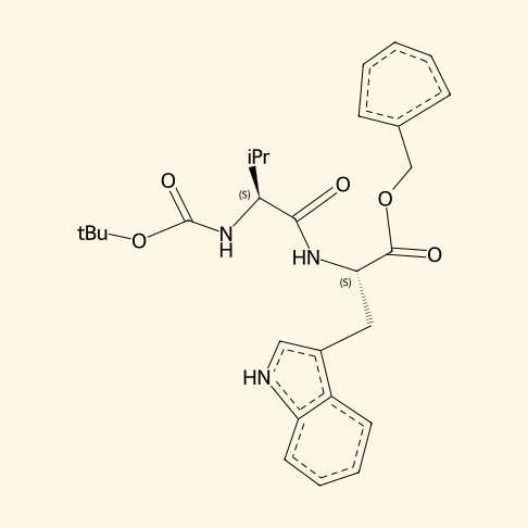 CC(C)[C@H](NC(=O)OC(C)(C)C)C(=O)N[C@@H](Cc1c[nH]c2ccccc12)C(=O)OCc1ccccc1